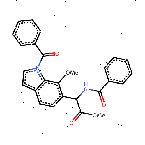 COC(=O)C(NC(=O)c1ccccc1)c1ccc2ccn(C(=O)c3ccccc3)c2c1OC